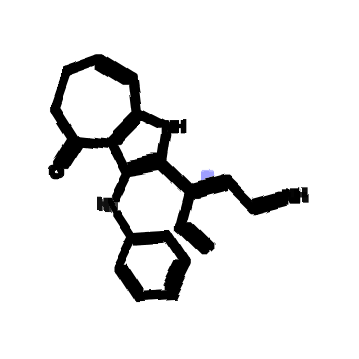 C=C/C(=C\C=N)c1[nH]c2c(c1Nc1ccccc1)C(=O)CCC=C2